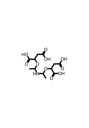 CC(NC(C)OC(CC(=O)O)C(=O)O)OC(CC(=O)O)C(=O)O